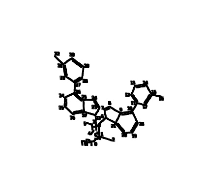 CCC[Si](C)=[Hf]([CH3])([CH3])([CH]1C=Cc2c(-c3cccc(C)c3)cccc21)[CH]1C=Cc2c(-c3cccc(C)c3)cccc21